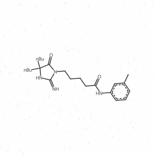 CCCCC1(CCCC)NC(=N)N(CCCCC(=O)Nc2cccc(C)c2)C1=O